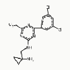 NC1(CNc2nc(-c3cc(Cl)cc(Cl)c3)nc(C(Cl)(Cl)Cl)n2)CC1